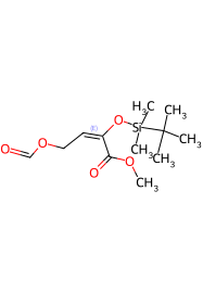 COC(=O)/C(=C\COC=O)O[Si](C)(C)C(C)(C)C